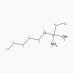 CCCCCOC(N)(O)CC